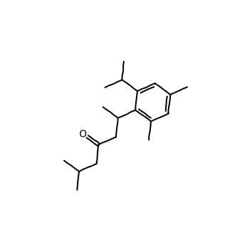 Cc1cc(C)c(C(C)CC(=O)CC(C)C)c(C(C)C)c1